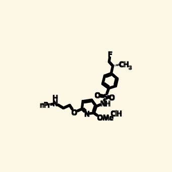 CCCNCCOc1ccc(NS(=O)(=O)c2ccc([C@@H](C)CF)cc2)c(OC)n1.Cl